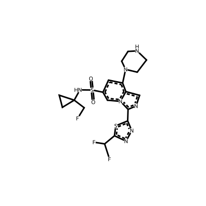 O=S(=O)(NC1(CF)CC1)c1cc(N2CCNCC2)c2cnc(-c3nnc(C(F)F)s3)n2c1